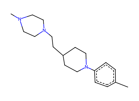 Cc1ccc(N2CCC(CCN3CCN(C)CC3)CC2)cc1